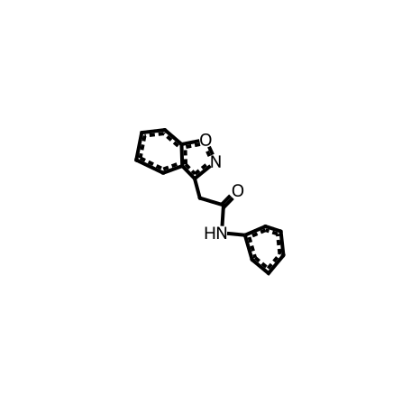 O=C(Cc1noc2ccccc12)Nc1ccccc1